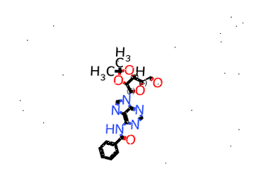 CC1(C)OC2[C@H](n3cnc4c(NC(=O)c5ccccc5)ncnc43)O[C@H](C=O)[C@H]2O1